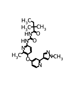 CCC(C)(C)C(=O)NC(=O)Nc1ccc(Oc2ccnc(-c3cnn(C)c3)c2)c(C)n1